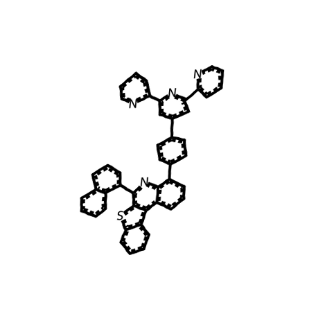 c1ccc(-c2cc(-c3ccc(-c4cccc5c4nc(-c4cccc6ccccc46)c4sc6ccccc6c45)cc3)cc(-c3ccccn3)n2)nc1